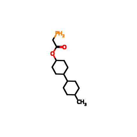 CC1CCC(C2CCC(OC(=O)CP)CC2)CC1